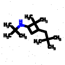 CC(C)(C)CC1CC(NC(C)(C)C)C1(C)C